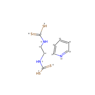 S=C(S)NCCNC(=S)S.c1ccncc1